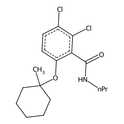 CCCNC(=O)c1c(OC2(C)CCCCC2)ccc(Cl)c1Cl